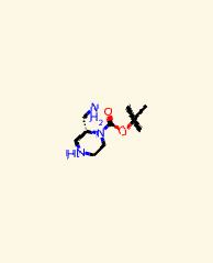 CC(C)(C)OC(=O)N1CCNC[C@@H]1CN